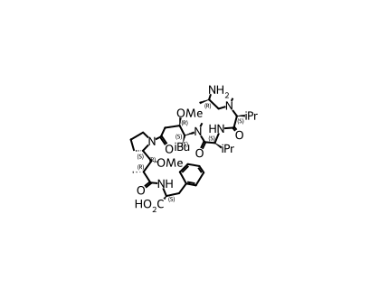 CC[C@H](C)[C@@H]([C@@H](CC(=O)N1CCC[C@H]1[C@H](OC)[C@@H](C)C(=O)N[C@@H](Cc1ccccc1)C(=O)O)OC)N(C)C(=O)[C@@H](NC(=O)[C@H](C(C)C)N(C)C[C@@H](C)N)C(C)C